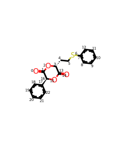 O=C1O[C@H](CCSc2ccccc2)C(=O)O[C@H]1c1ccccc1